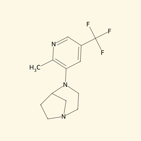 Cc1ncc(C(F)(F)F)cc1N1CCN2CCC1C2